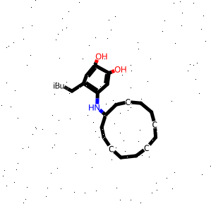 CCC(C)Cc1cc(O)c(O)cc1NC1CCCCCCCCCCCC1